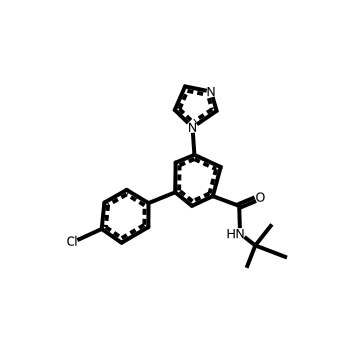 CC(C)(C)NC(=O)c1cc(-c2ccc(Cl)cc2)cc(-n2ccnc2)c1